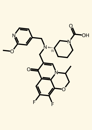 COc1cc(CN(Cc2cn3c4c(c(F)c(F)cc4c2=O)OCC3C)[C@H]2CCCN(C(=O)O)C2)ccn1